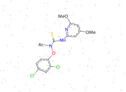 COc1cc(NC(=S)N(Oc2ccc(Cl)cc2Cl)C(C)=O)nc(OC)c1